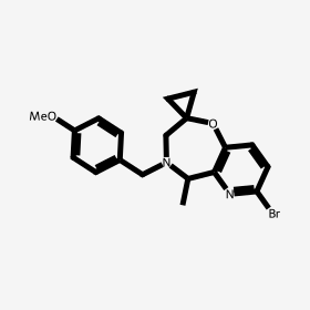 COc1ccc(CN2CC3(CC3)Oc3ccc(Br)nc3C2C)cc1